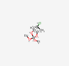 CCO[Si](OCC)(OCC)OCC.C[Si](C)Cl